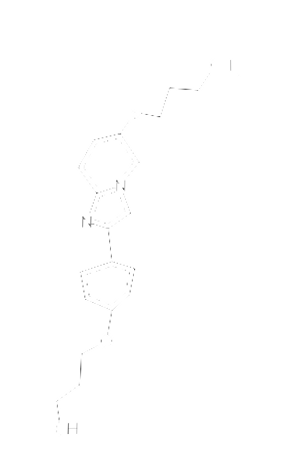 CCCCOc1ccc(-c2cn3cc(SCCCC)ccc3n2)cc1